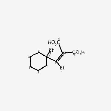 CCC(=C(C(=O)O)C(=O)O)C1(CC)CCCCC1